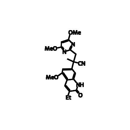 CCc1cc2c(OC)cc(C(C)(C#N)Cc3nc(OC)cc(OC)n3)cc2[nH]c1=O